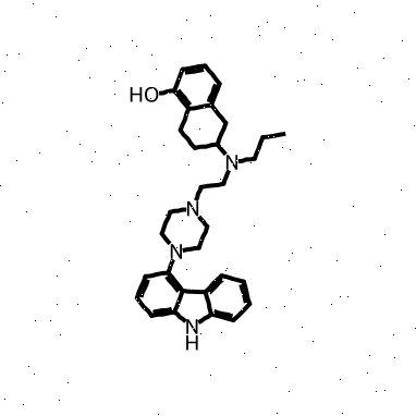 CCCN(CCN1CCN(c2cccc3[nH]c4ccccc4c23)CC1)C1CCc2c(O)cccc2C1